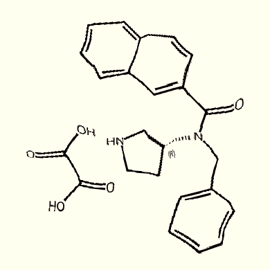 O=C(O)C(=O)O.O=C(c1ccc2ccccc2c1)N(Cc1ccccc1)[C@@H]1CCNC1